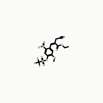 CCOC(=O)C(=Cc1cc(OC)c(OS(=O)(=O)C(F)(F)F)cc1[N+](=O)[O-])CC#N